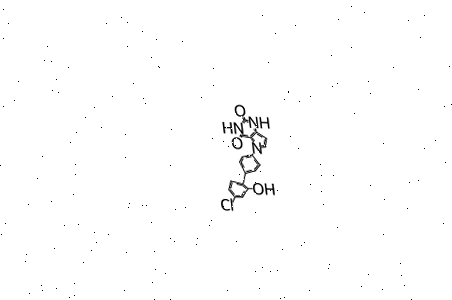 O=c1[nH]c(=O)c2c(ccn2-c2ccc(-c3ccc(Cl)cc3O)cc2)[nH]1